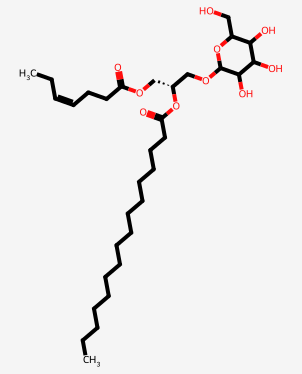 CC/C=C\CCC(=O)OC[C@H](COC1OC(CO)C(O)C(O)C1O)OC(=O)CCCCCCCCCCCCCCC